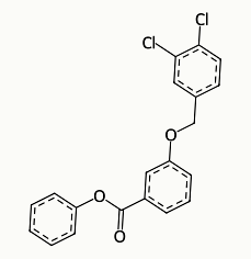 O=C(Oc1ccccc1)c1cccc(OCc2ccc(Cl)c(Cl)c2)c1